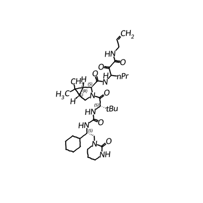 C=CCNC(=O)C(=O)C(CCC)NC(=O)[C@@H]1[C@@H]2[C@H](CN1C(=O)[C@@H](NC(=O)N[C@H](CN1CCCNC1=O)C1CCCCC1)C(C)(C)C)C2(C)C